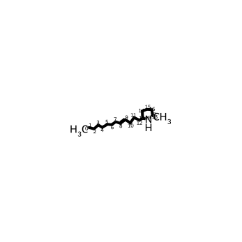 CCCCCCCCC=CCCCC1CCCC(C)N1